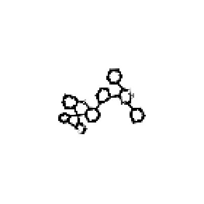 c1ccc(-c2nnc(-c3ccccc3)c(-c3cccc(-c4cccc5c4Sc4ccccc4C54c5ccccc5-c5ccccc54)c3)n2)cc1